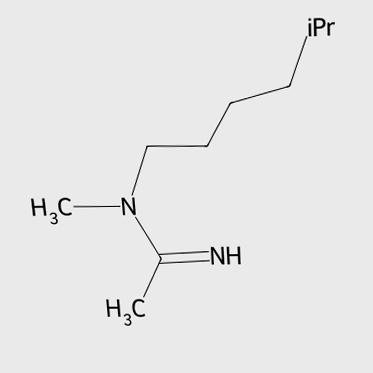 CC(=N)N(C)CCCCC(C)C